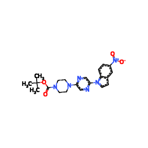 CC(C)(C)OC(=O)N1CCN(c2cnc(-n3ccc4cc([N+](=O)[O-])ccc43)cn2)CC1